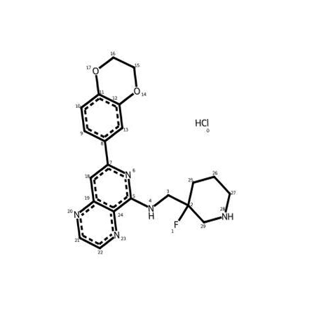 Cl.FC1(CNc2nc(-c3ccc4c(c3)OCCO4)cc3nccnc23)CCCNC1